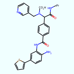 CC(C)NC(=O)C(c1ccc(C(=O)Nc2cc(-c3cccs3)ccc2N)cc1)N(Cc1cccnc1)C(=O)O